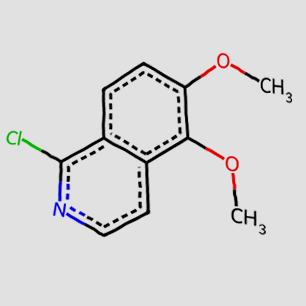 COc1ccc2c(Cl)nccc2c1OC